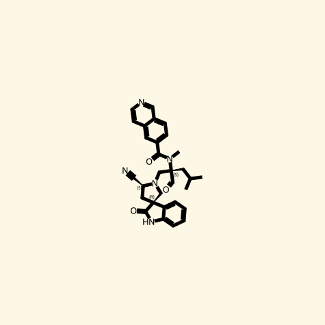 CC(C)C[C@@](C=O)(CN1C[C@]2(C[C@H]1C#N)C(=O)Nc1ccccc12)N(C)C(=O)c1ccc2cnccc2c1